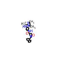 Cc1cc(C)nc(C(C)Nc2ccc(NC(=O)C3CC(=O)N(Cc4cccc5ccccc45)C3)cc2)n1